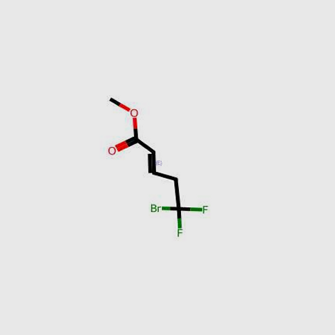 COC(=O)/C=C/CC(F)(F)Br